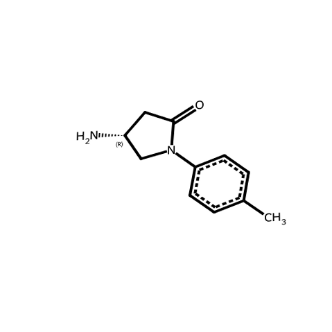 Cc1ccc(N2C[C@H](N)CC2=O)cc1